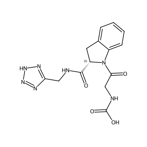 O=C(O)NCC(=O)N1c2ccccc2C[C@H]1C(=O)NCc1nn[nH]n1